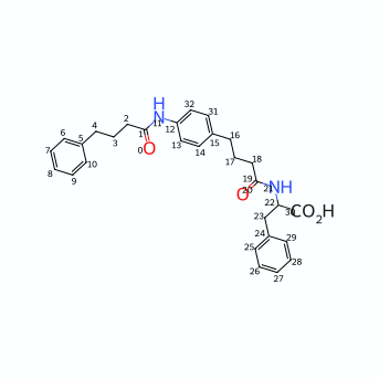 O=C(CCCc1ccccc1)Nc1ccc(CCCC(=O)NC(Cc2ccccc2)C(=O)O)cc1